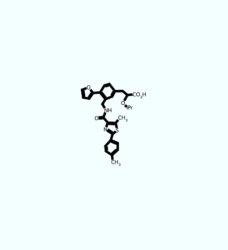 Cc1ccc(-c2nc(C(=O)NCc3cc(CC(OC(C)C)C(=O)O)ccc3-c3ccco3)c(C)s2)cc1